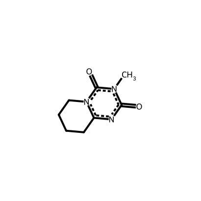 Cn1c(=O)nc2n(c1=O)CCCC2